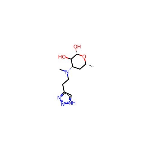 C[C@@H]1C[C@H](N(C)CCc2c[nH]nn2)C(O)[C@H](O)O1